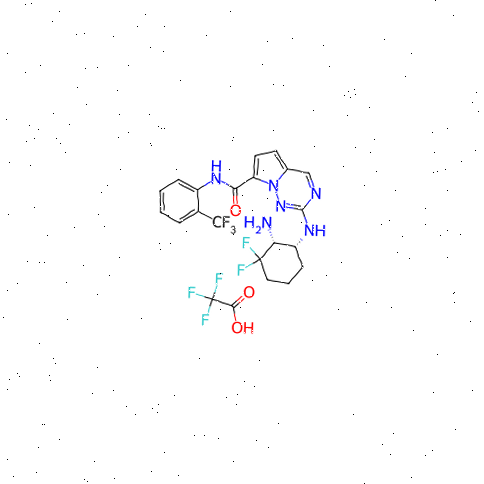 N[C@@H]1[C@H](Nc2ncc3ccc(C(=O)Nc4ccccc4C(F)(F)F)n3n2)CCCC1(F)F.O=C(O)C(F)(F)F